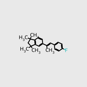 C/C(=C\c1ccc(F)cc1)c1ccc2c(c1)C(C)(C)CC2(C)C